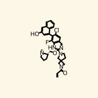 C=CC(=O)N1CC2(CCN(C3(OC[C@@H]4CCCN4C)N=Cc4cc(Cl)c(-c5cc(O)cc6ccccc56)c(F)c4N3)C2)C1